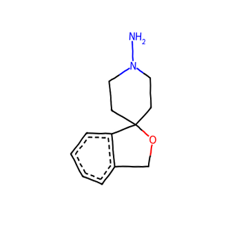 NN1CCC2(CC1)OCc1ccccc12